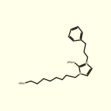 CCCCCCCCCCCCCCCCCCn1cc[n+](CCCc2ccccc2)c1CCCCC